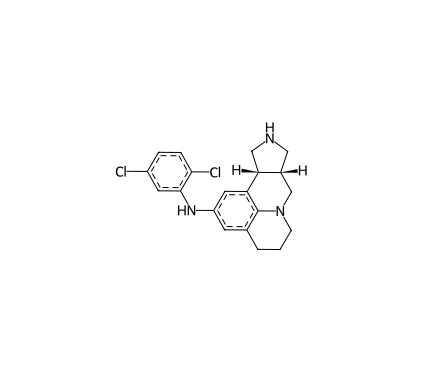 Clc1ccc(Cl)c(Nc2cc3c4c(c2)[C@@H]2CNC[C@@H]2CN4CCC3)c1